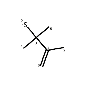 C=C(C)C(C)(C)[S]